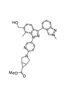 COC(=O)C1C2CN(c3ccc(-n4nc(-c5cccc6nn(C)cc56)c5ccc(CO)c(C)c54)cn3)CC21